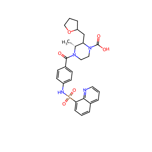 C[C@@H]1C(CC2CCCO2)N(C(=O)O)CCN1C(=O)c1ccc(NS(=O)(=O)c2cccc3cccnc23)cc1